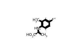 Cc1cc(F)ccc1N[C@@H](C)C(=O)O